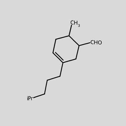 CC(C)CCCC1=CCC(C)C(C=O)C1